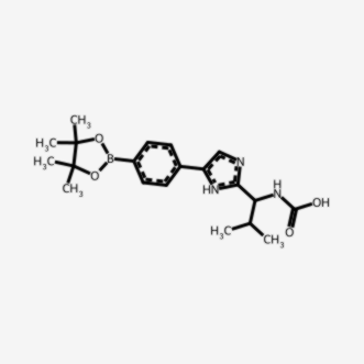 CC(C)C(NC(=O)O)c1ncc(-c2ccc(B3OC(C)(C)C(C)(C)O3)cc2)[nH]1